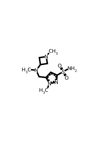 CN1CC(N(C)Cc2cc(S(N)(=O)=O)nn2C)C1